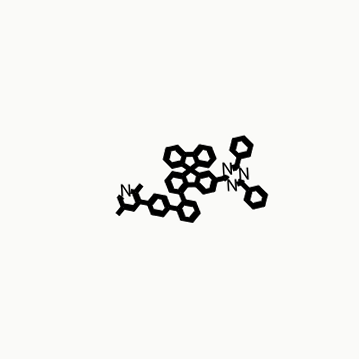 Cc1cnc(C)c(-c2ccc(-c3ccccc3-c3cccc4c3-c3ccc(-c5nc(-c6ccccc6)nc(-c6ccccc6)n5)cc3C43c4ccccc4-c4ccccc43)cc2)c1